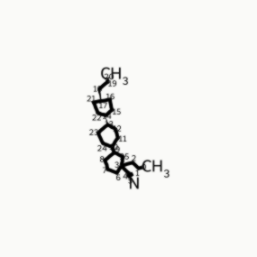 CCCC1(C#N)CCCC(C2CCC([C@H]3CC[C@H](CCC)CC3)CC2)C1